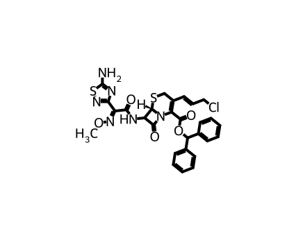 CON=C(C(=O)NC1C(=O)N2C(C(=O)OC(c3ccccc3)c3ccccc3)=C(C=CCCl)CS[C@@H]12)c1nsc(N)n1